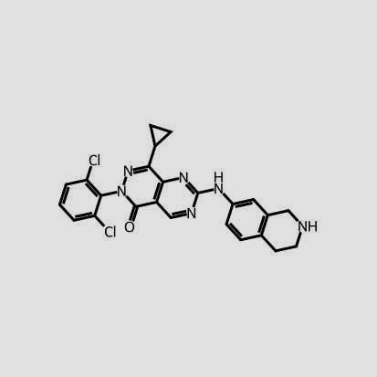 O=c1c2cnc(Nc3ccc4c(c3)CNCC4)nc2c(C2CC2)nn1-c1c(Cl)cccc1Cl